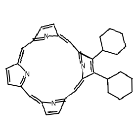 C1=CC2=NC1=CC1=NC(=CC3=NC(=CC4=NC(=C2)C=C4)C(C2CCCCC2)=C3C2CCCCC2)C=C1